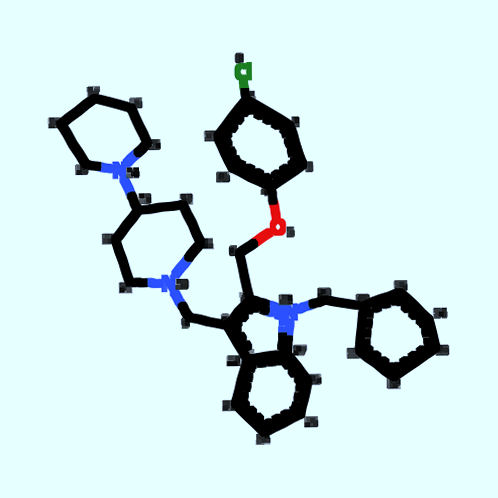 Clc1ccc(OCc2c(CN3CCC(N4CCCCC4)CC3)c3ccccc3n2Cc2ccccc2)cc1